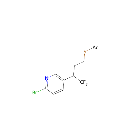 CC(=O)SCCC(c1ccc(Br)nc1)C(F)(F)F